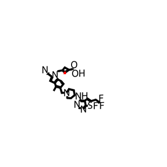 Cc1c(CN2CCC(Nc3ncnc4sc(CC(F)(F)F)cc34)CC2)ccc2c1cc(C#N)n2CC12CC(C(=O)O)(C1)C2